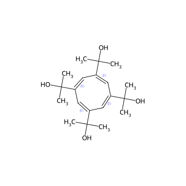 CC(C)(O)C1=C/C(C(C)(C)O)=C\C(C(C)(C)O)=C/C(C(C)(C)O)=C\1